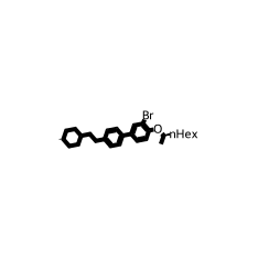 CCCCCC[C@@H](C)Oc1ccc(-c2ccc(CCC3CC[CH]CC3)cc2)cc1Br